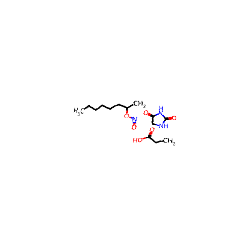 CCC(=O)O.CCCCCCC(C)ON=O.O=C1CNC(=O)N1